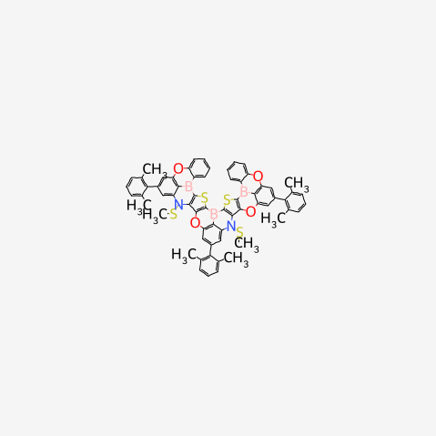 CSN1c2cc(-c3c(C)cccc3C)cc3c2B(c2ccccc2O3)c2sc3c(c21)Oc1cc(-c2c(C)cccc2C)cc2c1B3c1sc3c(c1N2SC)Oc1cc(-c2c(C)cccc2C)cc2c1B3c1ccccc1O2